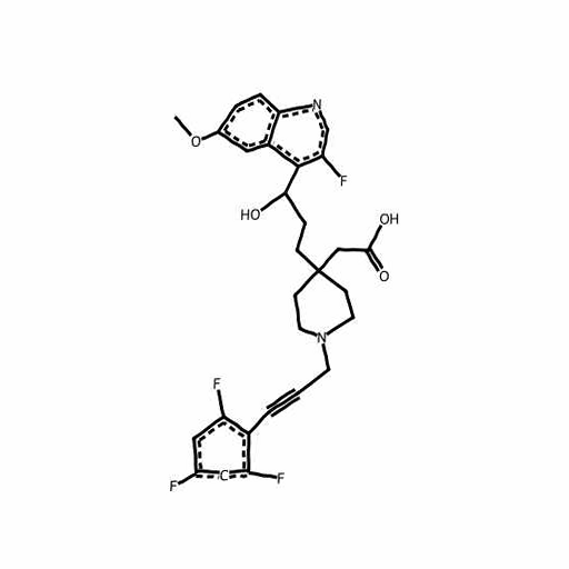 COc1ccc2ncc(F)c(C(O)CCC3(CC(=O)O)CCN(CC#Cc4c(F)cc(F)cc4F)CC3)c2c1